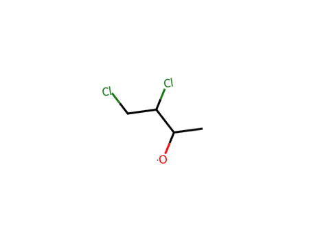 CC([O])C(Cl)CCl